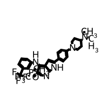 CN(C)C1CCN(c2ccc(-c3cc4c(Nc5cccc(C(F)(F)F)c5P(C)(C)=O)ccnc4[nH]3)cc2)CC1